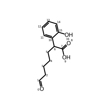 O=CCCCCC(C(=O)O)c1ccccc1O